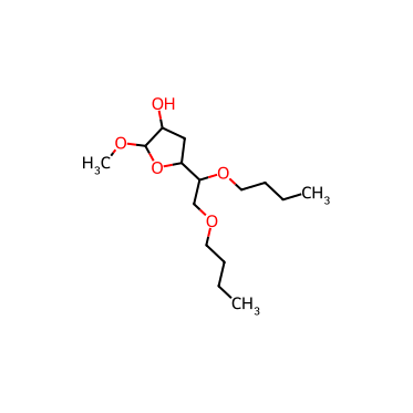 CCCCOCC(OCCCC)C1CC(O)C(OC)O1